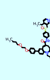 CCCCOCCOc1ccc(-c2ccc3c(c2)/C=C(/C(=O)Nc2ccc([S+]([O-])Cc4cnccc4CC)cc2)CCCN3CC2CCOCC2)cc1